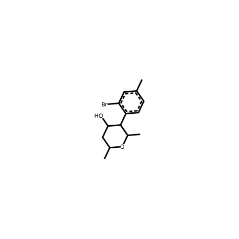 Cc1ccc(C2C(O)CC(C)OC2C)c(Br)c1